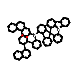 c1ccc(-c2cccc3ccccc23)c(-c2ccccc2N(c2ccc3c(ccc4ccccc43)c2)c2cccc3c2-c2ccccc2C32c3ccccc3-n3c4ccccc4c4cccc2c43)c1